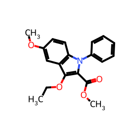 CCOc1c(C(=O)OC)n(-c2ccccc2)c2ccc(OC)cc12